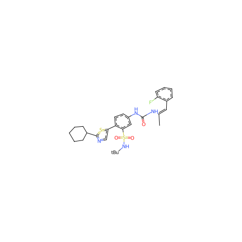 CC(=Cc1ccccc1F)NC(=O)Nc1ccc(-c2cnc(C3CCCCC3)s2)c(S(=O)(=O)NC(C)(C)C)c1